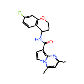 Cc1cc(C)n2ccc(C(=O)NC3CCOc4cc(F)ccc43)c2n1